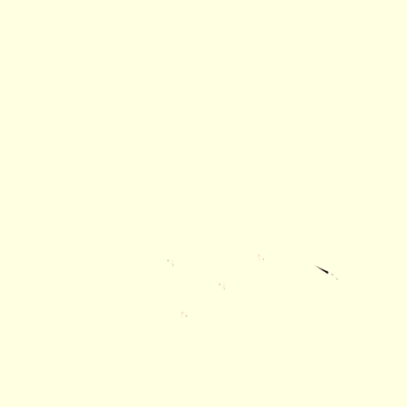 CN[C@@H]1CCN(c2cc(CCC3CCCC3)nc(N)n2)C1